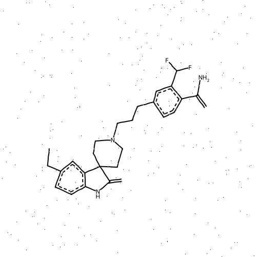 C=C(N)c1ccc(CCCN2CCC3(CC2)C(=C)Nc2ccc(CC)cc23)cc1C(F)F